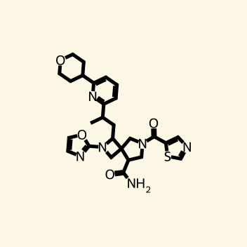 CC(CC1N(c2ncco2)CC12CN(C(=O)c1cncs1)CC2C(N)=O)c1cccc(C2CCOCC2)n1